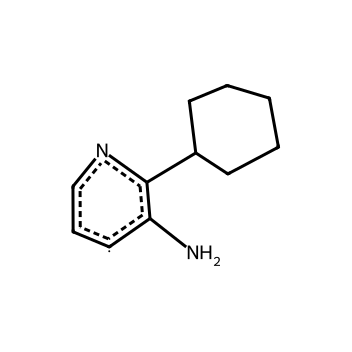 Nc1[c]ccnc1C1CCCCC1